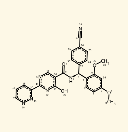 COc1ccc([C@@H](NC(=O)c2cnc(-c3cccnn3)nc2O)c2ccc(C#N)cc2)c(OC)c1